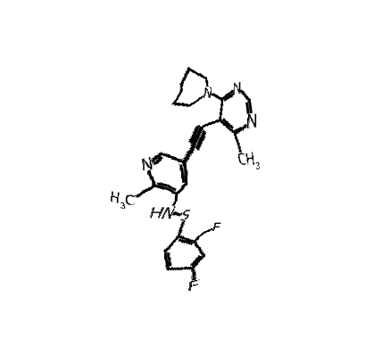 Cc1ncc(C#Cc2c(C)ncnc2N2CCCCC2)cc1NSc1ccc(F)cc1F